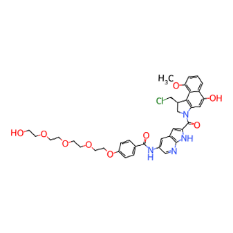 COc1cccc2c(O)cc3c(c12)[C@H](CCl)CN3C(=O)c1cc2cc(NC(=O)c3ccc(OCCOCCOCCOCCO)cc3)cnc2[nH]1